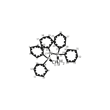 C=P(c1ccccc1)(c1ccccc1)N(c1ccccc1)P(=C)(c1ccccc1)c1ccccc1